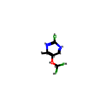 Cc1nc(Cl)ncc1OC(F)F